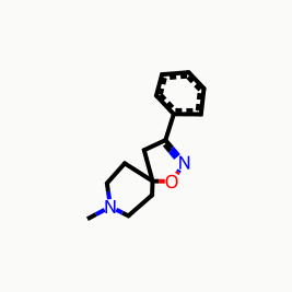 CN1CCC2(CC1)CC(c1ccccc1)=NO2